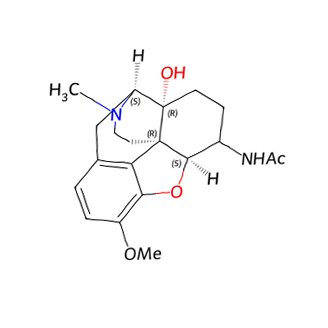 COc1ccc2c3c1O[C@@H]1C(NC(C)=O)CC[C@]4(O)[C@H](C2)N(C)CC[C@@]314